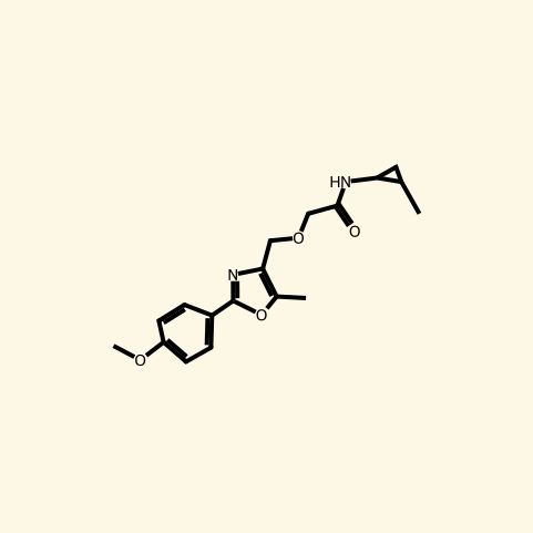 COc1ccc(-c2nc(COCC(=O)NC3CC3C)c(C)o2)cc1